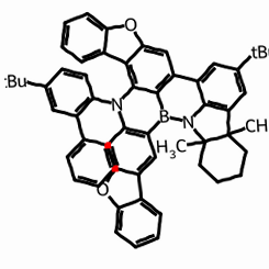 CC(C)(C)c1ccc(N2c3cc4oc5ccccc5c4cc3B3c4c(cc5oc6ccccc6c5c42)-c2cc(C(C)(C)C)cc4c2N3C2(C)CCCCC42C)c(-c2ccccc2)c1